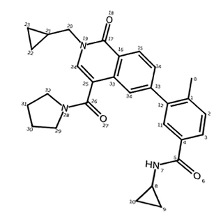 Cc1ccc(C(=O)NC2CC2)cc1-c1ccc2c(=O)n(CC3CC3)cc(C(=O)N3CCCC3)c2c1